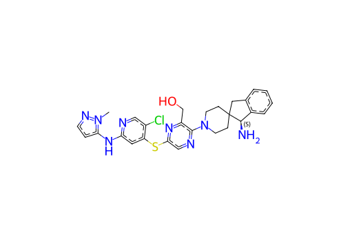 Cn1nccc1Nc1cc(Sc2cnc(N3CCC4(CC3)Cc3ccccc3[C@H]4N)c(CO)n2)c(Cl)cn1